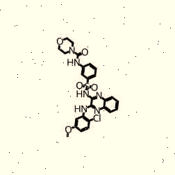 COc1ccc(Cl)c(Nc2nc3ccccc3nc2NS(=O)(=O)c2cccc(NC(=O)N3CCOCC3)c2)c1